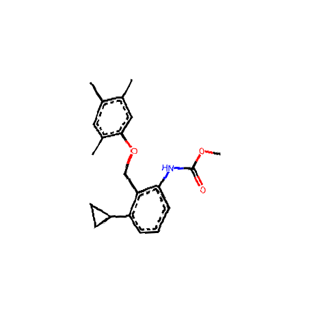 COC(=O)Nc1cccc(C2CC2)c1COc1cc(C)c(C)cc1C